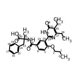 CCCOc1ccc(C(=O)NC(C)(Cc2ccccc2)C(=O)O)cc1-c1nc(CC)c(CC)c(=O)[nH]1